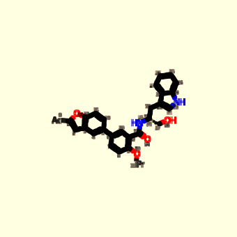 CC(=O)c1cc2cc(-c3ccc(OC(C)C)c(C(=O)N[C@@H](CO)Cc4c[nH]c5ccccc45)c3)ccc2o1